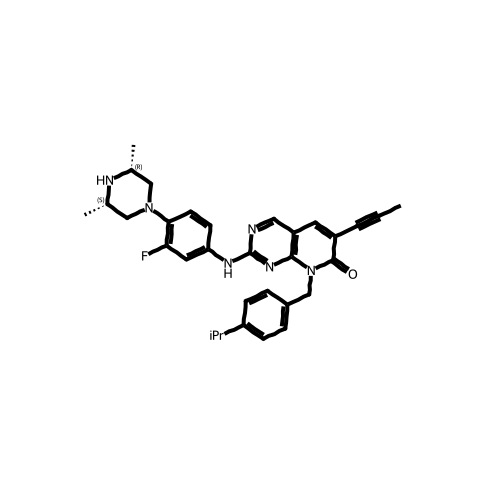 CC#Cc1cc2cnc(Nc3ccc(N4C[C@@H](C)N[C@@H](C)C4)c(F)c3)nc2n(Cc2ccc(C(C)C)cc2)c1=O